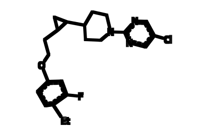 CCc1ccc(OCCC2CC2C2CCN(c3ncc(Cl)cn3)CC2)cc1F